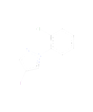 Clc1ccccc1-n1cc(I)cn1